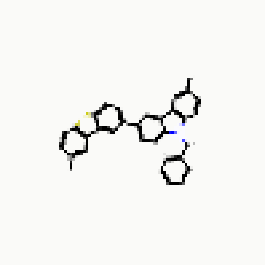 Cc1ccc2sc3ccc(-c4ccc5c(c4)c4cc(C)ccc4n5Cc4ccccc4)cc3c2c1